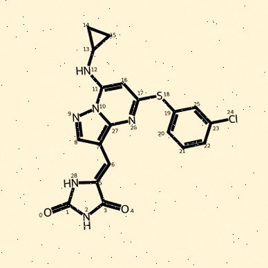 O=C1NC(=O)/C(=C/c2cnn3c(NC4CC4)cc(Sc4cccc(Cl)c4)nc23)N1